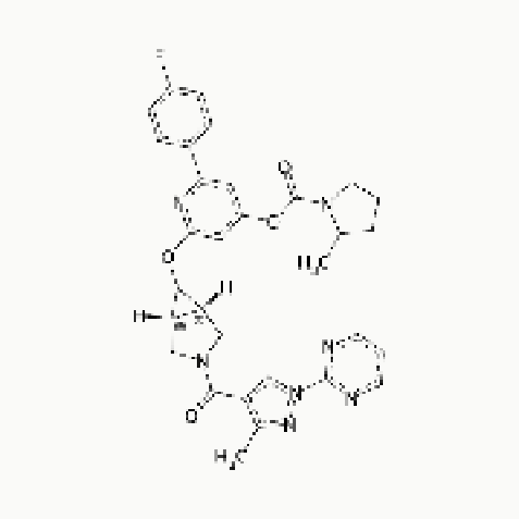 Cc1nn(-c2ncccn2)cc1C(=O)N1C[C@@H]2C(Oc3cc(OC(=O)N4CCCC4C)cc(-c4ccc(F)cc4)n3)[C@@H]2C1